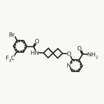 NC(=O)c1cccnc1OC1CC2(CC(NC(=O)c3cc(Br)cc(C(F)(F)F)c3)C2)C1